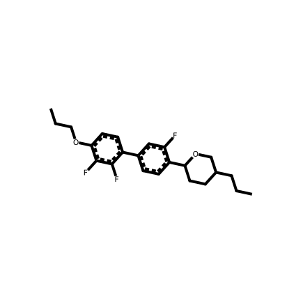 CCCOc1ccc(-c2ccc(C3CCC(CCC)CO3)c(F)c2)c(F)c1F